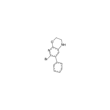 Brc1nc2c(cc1-c1ccccc1)NCCO2